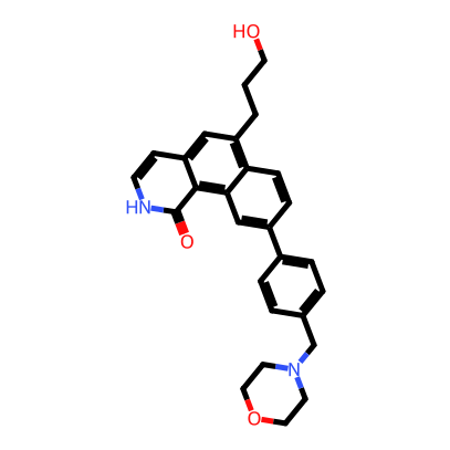 O=c1[nH]ccc2cc(CCCO)c3ccc(-c4ccc(CN5CCOCC5)cc4)cc3c12